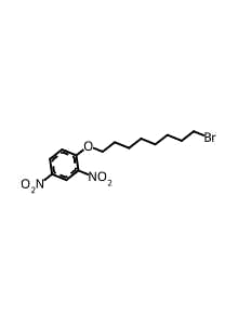 O=[N+]([O-])c1ccc(OCCCCCCCCBr)c([N+](=O)[O-])c1